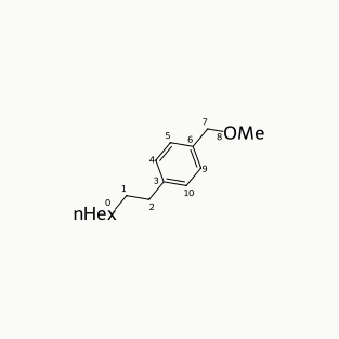 CCCCCCCCc1ccc(COC)cc1